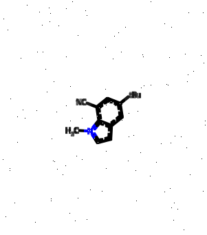 Cn1ccc2cc(C(C)(C)C)cc(C#N)c21